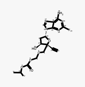 C#C[C@]1(COCOC(=O)OC(C)C)O[C@@H](n2cnc3c(N)nc(F)nc32)C[C@@H]1O